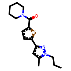 CCCn1nc(-c2ccc(C(=O)N3CCCCC3)s2)cc1C